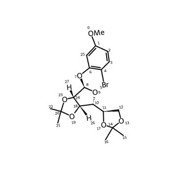 COc1ccc(Br)c(O[C@H]2O[C@H]([C@H]3COC(C)(C)O3)[C@@H]3OC(C)(C)O[C@H]23)c1